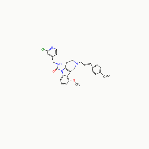 COc1ccc(C=CCN2CCc3c(c4c(OC(F)(F)F)cccc4n3C(=O)NCc3ccnc(Cl)c3)C2)cc1